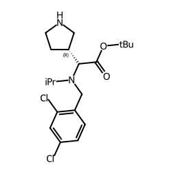 CC(C)N(Cc1ccc(Cl)cc1Cl)C(C(=O)OC(C)(C)C)[C@@H]1CCNC1